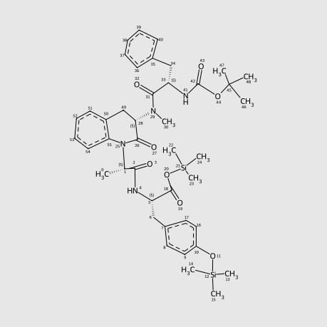 C[C@@H](C(=O)N[C@@H](Cc1ccc(O[Si](C)(C)C)cc1)C(=O)O[Si](C)(C)C)N1C(=O)[C@@H](N(C)C(=O)[C@H](Cc2ccccc2)NC(=O)OC(C)(C)C)Cc2ccccc21